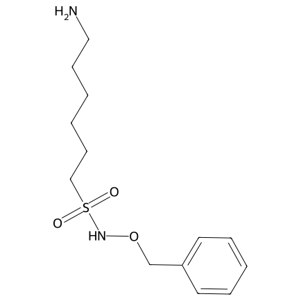 NCCCCCCS(=O)(=O)NOCc1ccccc1